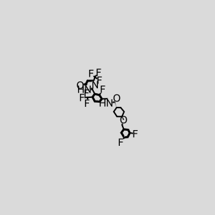 O=c1cc(C(F)(F)F)nc(-c2c(C(F)(F)F)ccc(CNC(=O)[C@H]3CC[C@H](OCc4cc(F)cc(F)c4)CC3)c2F)[nH]1